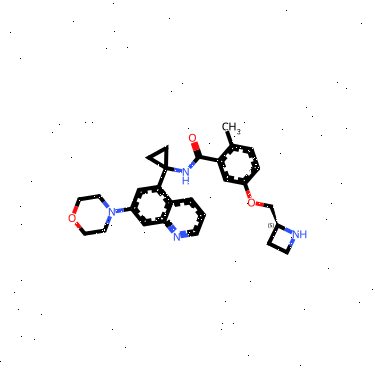 Cc1ccc(OC[C@@H]2CCN2)cc1C(=O)NC1(c2cc(N3CCOCC3)cc3ncccc23)CC1